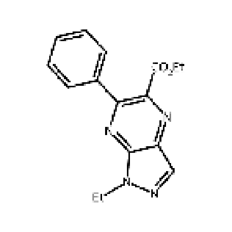 CCOC(=O)c1nc2cnn(CC)c2nc1-c1ccccc1